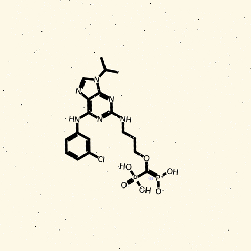 CC(C)n1cnc2c(Nc3cccc(Cl)c3)nc(NCCCO/C(=[P+](/[O-])O)P(=O)(O)O)nc21